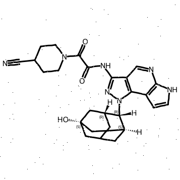 N#CC1CCN(C(=O)C(=O)Nc2nn([C@H]3[C@@H]4CC5C[C@H]3C[C@@](O)(C5)C4)c3c2cnc2[nH]ccc23)CC1